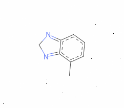 Cc1cccc2c1=NCN=2